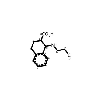 O=C(O)C1CCc2ccccc2C1NCCCl